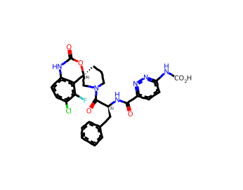 O=C(O)Nc1ccc(C(=O)N[C@@H](Cc2ccccc2)C(=O)N2CCC[C@@]3(C2)OC(=O)Nc2ccc(Cl)c(F)c23)nn1